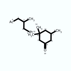 CC(=O)CC(C)CC(C)C.CC1CC(=O)CC(C)(C)C1